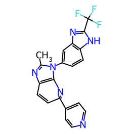 Cc1nc2ccc(-c3ccncc3)nc2n1-c1ccc2[nH]c(C(F)(F)F)nc2c1